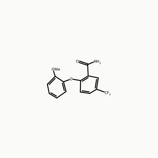 COc1ccccc1Oc1ccc(C(F)(F)F)cc1C(N)=O